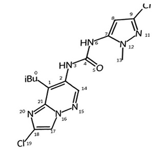 CCC(C)c1c(NC(=O)Nc2cc(Cl)nn2C)cnn2cc(Cl)nc12